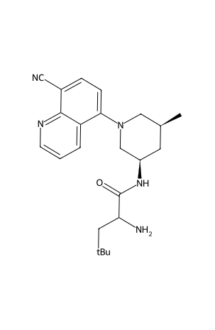 C[C@H]1C[C@@H](NC(=O)C(N)CC(C)(C)C)CN(c2ccc(C#N)c3ncccc23)C1